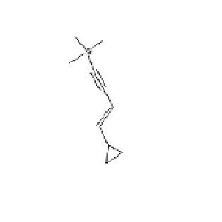 C[Si](C)(C)C#CC=CC1CC1